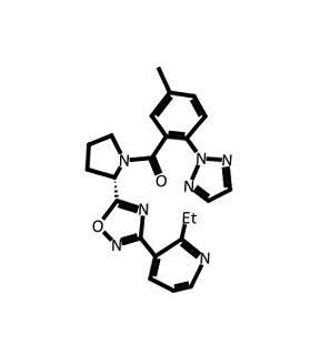 CCc1ncccc1-c1noc([C@@H]2CCCN2C(=O)c2cc(C)ccc2-n2nccn2)n1